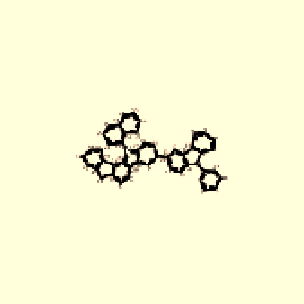 c1ccc(C2c3ccccc3-c3cc(-c4ccc5c(c4)c4ccc6c(c4n5-c4cccc5ccccc45)-c4ccccc4C6)ccc32)cc1